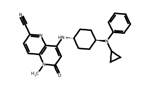 Cn1c(=O)cc(N[C@H]2CC[C@H](N(c3ccccc3)C3CC3)CC2)c2nc(C#N)ccc21